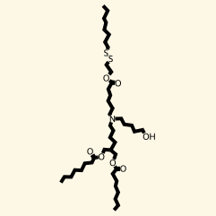 CCCCCCCCSSCCOC(=O)CCCCCN(CCCCCO)CCCCC(COC(=O)CCCCCCC)COC(=O)CCCCCCC